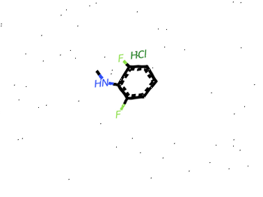 CNc1c(F)cccc1F.Cl